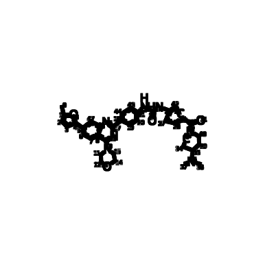 Cc1ccc(-c2ccc3c(N4CCOCC4)nc(-c4ccc(NC(=O)Nc5ccc(C(=O)N6CCC(N(C)C)CC6)cc5)cc4)nc3c2)o1